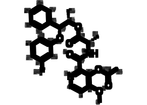 COc1ccnc(C(=O)N[C@@H](C)C(=O)O[C@@H](C)[C@H](Oc2cccc(F)c2)c2ccccc2)c1OC(C)=O